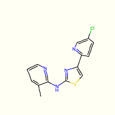 Cc1cccnc1Nc1nc(-c2ccc(Cl)cn2)cs1